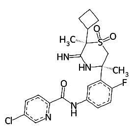 C[C@@]1(C2CCC2)C(=N)N[C@](C)(c2cc(NC(=O)c3ccc(Cl)cn3)ccc2F)CS1(=O)=O